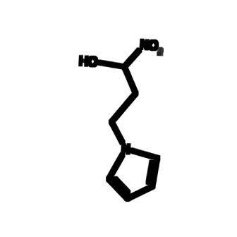 O=[N+]([O-])C(O)CCn1cccc1